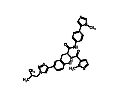 CC(C)Cn1cc(-c2ccc(Cl)c(C[C@H](NC(=O)c3ccnn3C)C(=O)Nc3ccc(-c4cncn4C)cc3)c2)nn1